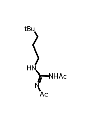 CC(=O)/N=C(/NCCCC(C)(C)C)NC(C)=O